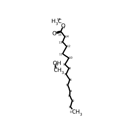 CCCCCCCCCCCCCCCC(=O)OC.CO